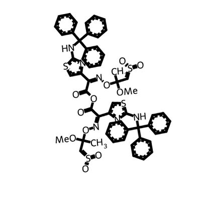 COC(C)(C=S(=O)=O)ON=C(C(=O)OC(=O)C(=NOC(C)(C=S(=O)=O)OC)c1csc(NC(c2ccccc2)(c2ccccc2)c2ccccc2)n1)c1csc(NC(c2ccccc2)(c2ccccc2)c2ccccc2)n1